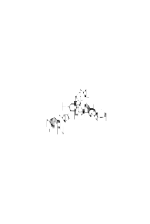 CC1CN(c2cc(F)c(C3=CCN(c4ccnc(C#N)n4)C3)c(F)c2NC(=O)c2c[nH]c(=O)cc2C(F)(F)F)CCN1C